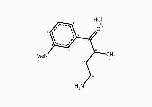 CNc1cccc(C(=O)C(C)CCN)c1.Cl